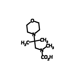 CN(CC(C)(C)N1CCOCC1)C(=O)O